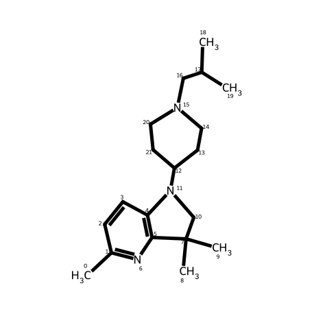 Cc1ccc2c(n1)C(C)(C)CN2C1CCN(CC(C)C)CC1